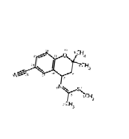 CSC(C)=NC1CC(C)(C)Oc2ccc(C#N)cc21